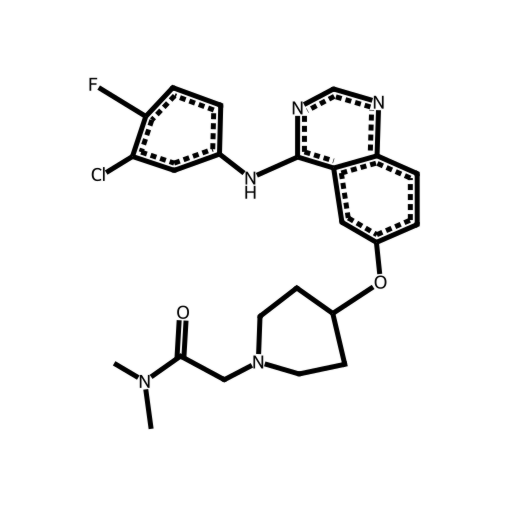 CN(C)C(=O)CN1CCC(Oc2ccc3ncnc(Nc4ccc(F)c(Cl)c4)c3c2)CC1